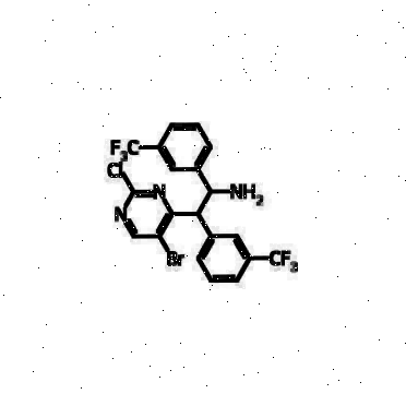 NC(c1cccc(C(F)(F)F)c1)C(c1cccc(C(F)(F)F)c1)c1nc(Cl)ncc1Br